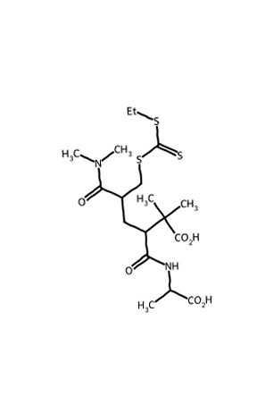 CCSC(=S)SCC(CC(C(=O)NC(C)C(=O)O)C(C)(C)C(=O)O)C(=O)N(C)C